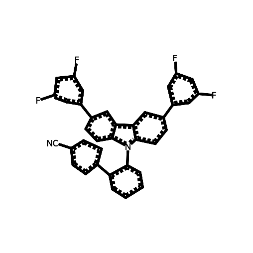 N#Cc1ccc(-c2ccccc2-n2c3ccc(-c4cc(F)cc(F)c4)cc3c3cc(-c4cc(F)cc(F)c4)ccc32)cc1